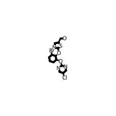 O=Cc1cnc(Oc2c(Br)cccc2Oc2ncc(Cl)cn2)s1